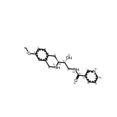 COc1ccc2c(c1)CN[C@H]([C@H](O)CNC(=O)c1cccnc1)C2